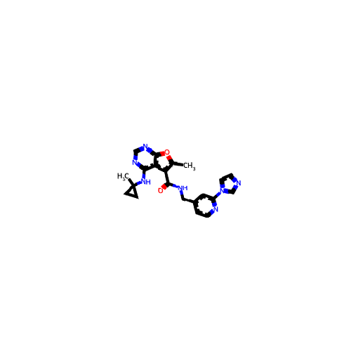 Cc1oc2ncnc(NC3(C)CC3)c2c1C(=O)NCc1ccnc(-n2ccnc2)c1